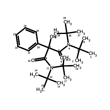 CC(C)(C)N(C(=O)C(O)(C(=O)N(C(C)(C)C)C(C)(C)C)c1ccccc1)C(C)(C)C